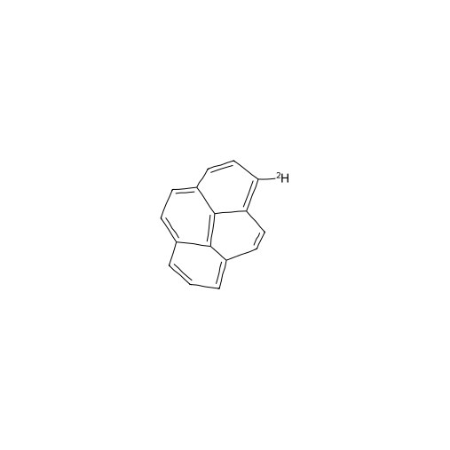 [2H]c1ccc2ccc3cccc4ccc1c2c34